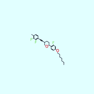 CCCCCCCOc1ccc(C2CCC(C#Cc3ccc(C)c(F)c3F)CO2)c(F)c1